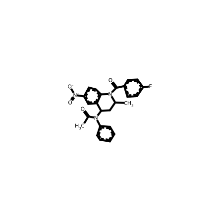 CC(=O)N(c1ccccc1)C1CC(C)N(C(=O)c2ccc(F)cc2)c2ccc([N+](=O)[O-])cc21